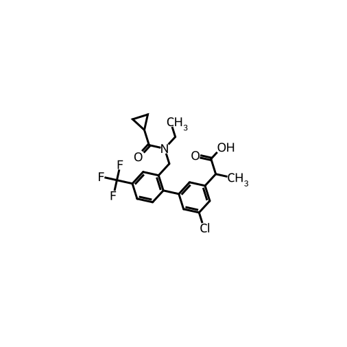 CCN(Cc1cc(C(F)(F)F)ccc1-c1cc(Cl)cc(C(C)C(=O)O)c1)C(=O)C1CC1